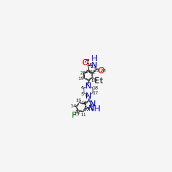 CCc1c(N2CCN(c3n[nH]c4cc(F)ccc34)CC2)ccc2c1C(=O)NC2=O